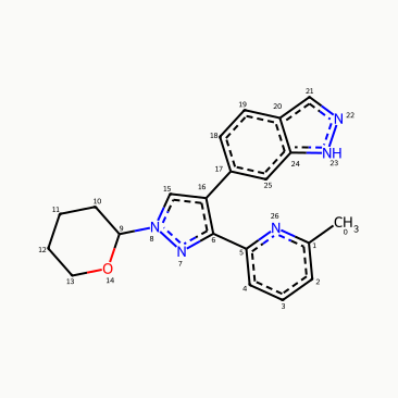 Cc1cccc(-c2nn(C3CCCCO3)cc2-c2ccc3cn[nH]c3c2)n1